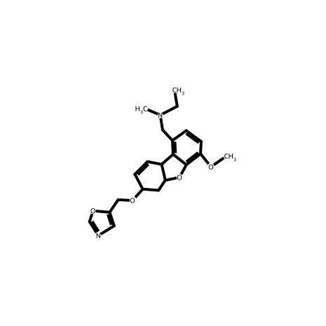 CCN(C)Cc1ccc(OC)c2c1C1C=CC(OCc3cnco3)CC1O2